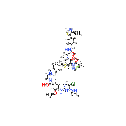 CNc1nc(Nc2ccc(C(O)N3CCN(C[C@H]4CC[C@H](CSC(C)(C)[C@H](NC(=O)C5(F)CC5)C(=O)N5CCCC5C(=O)NCc5ccc(-c6scnc6C)cc5)CC4)CC3)cc2OC)ncc1Cl